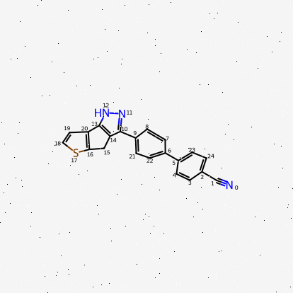 N#Cc1ccc(-c2ccc(-c3n[nH]c4c3Cc3sccc3-4)cc2)cc1